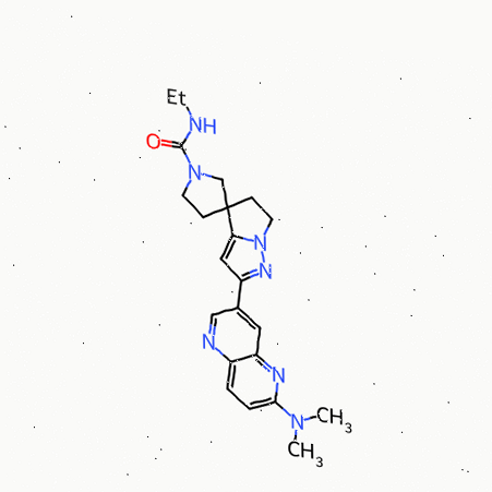 CCNC(=O)N1CCC2(CCn3nc(-c4cnc5ccc(N(C)C)nc5c4)cc32)C1